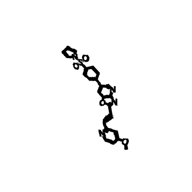 COc1ccnc(C=Cc2nc3ncc(-c4ccc(S(=O)(=O)n5cccc5)cc4)cc3o2)c1